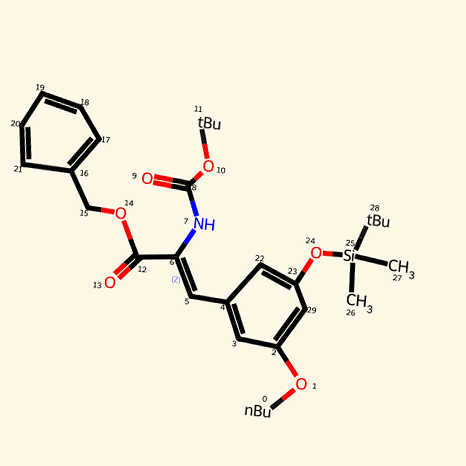 CCCCOc1cc(/C=C(\NC(=O)OC(C)(C)C)C(=O)OCc2ccccc2)cc(O[Si](C)(C)C(C)(C)C)c1